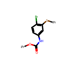 CC(C)OC(=O)Nc1ccc(Br)c(SC(C)C)c1